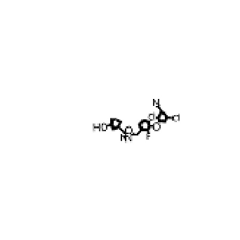 N#Cc1cc(Cl)cc(Oc2c(Cl)ccc(Cc3nnc(-c4cccc(O)c4)o3)c2F)c1